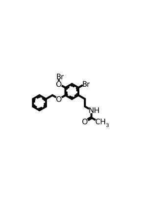 CC(=O)NCCc1cc(OCc2ccccc2)c(OBr)cc1Br